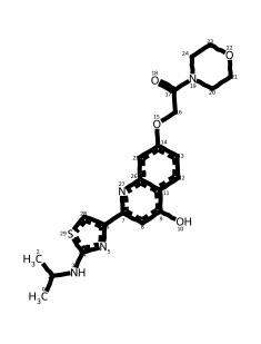 CC(C)Nc1nc(-c2cc(O)c3ccc(OCC(=O)N4CCOCC4)cc3n2)cs1